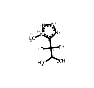 CC(C)C(F)(F)c1nnnn1C